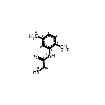 Cc1ccc(C)c(NC(=O)CS)c1